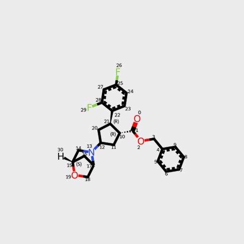 O=C(OCc1ccccc1)[C@@H]1CC(N2C[C@@H]3CC2CO3)C[C@H]1c1ccc(F)cc1F